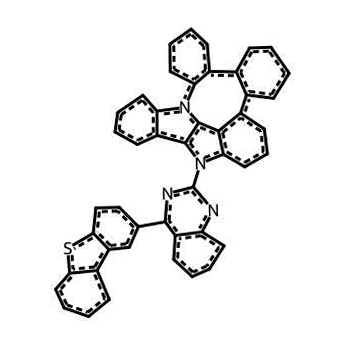 c1ccc2c(-c3ccc4sc5ccccc5c4c3)nc(-n3c4cccc5c6ccccc6c6ccccc6n6c7ccccc7c3c6c54)nc2c1